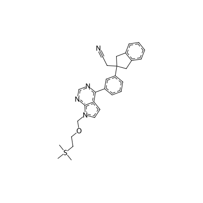 CS(C)(C)CCOCn1ccc2c(-c3cccc(C4(CC#N)Cc5ccccc5C4)c3)ncnc21